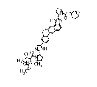 COC(=O)NC(C(=O)N1[C@@H](C)CC[C@H]1c1ncc(-c2ccc3c(c2)COc2cc4c(ccc5nc([C@@H]6CCCN6C(=O)CC6CCCOC6)[nH]c54)cc2-3)[nH]1)C(C)C